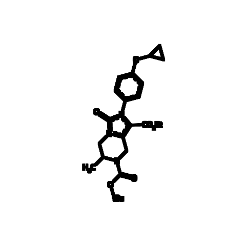 CCOC(=O)c1c2n(c(=O)n1-c1ccc(OC3CC3)cc1)CC(C)N(C(=O)OC(C)(C)C)C2